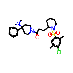 Cc1cc(S(=O)(=O)N2CCCCC2CCC(=O)N2CCC(c3ccccc3)(N(C)C)CC2)c(C)cc1Cl